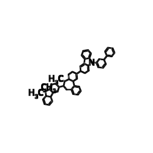 C[C@H]1C(C2C=C3C(=CC2)C(C)(C)C2C=CC=CC32)Cc2ccccc2C2C=C(C3C=c4c(n(C5=CC=CC(c6ccccc6)C5)c5ccccc45)=CC3)CCC21